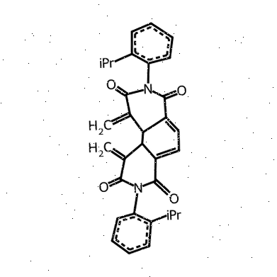 C=C1C(=O)N(c2ccccc2C(C)C)C(=O)C2=CC=C3C(=O)N(c4ccccc4C(C)C)C(=O)C(=C)C3C12